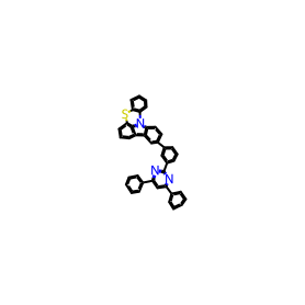 c1ccc(-c2cc(-c3ccccc3)nc(-c3cccc(-c4ccc5c(c4)c4cccc6c4n5-c4ccccc4S6)c3)n2)cc1